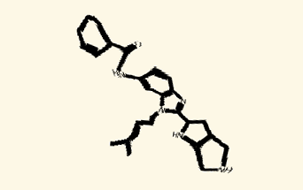 CC(C)=CCn1c(C2CC3CNCC3N2)nc2ccc(NC(=O)c3ccccc3)cc21